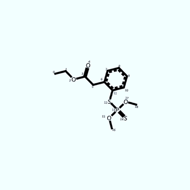 CCOC(=O)Cc1ccccc1SP(=S)(OC)OC